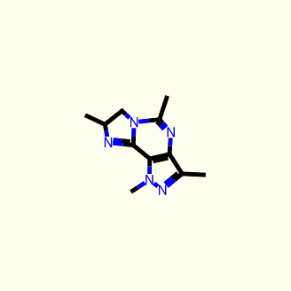 CC1=Nc2c(C)nn(C)c2C2=NC(C)CN12